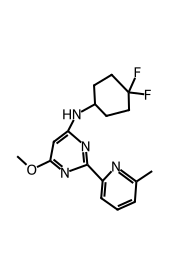 COc1cc(NC2CCC(F)(F)CC2)nc(-c2cccc(C)n2)n1